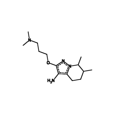 CC1CCc2c(N)c(OCCCN(C)C)nn2C1C